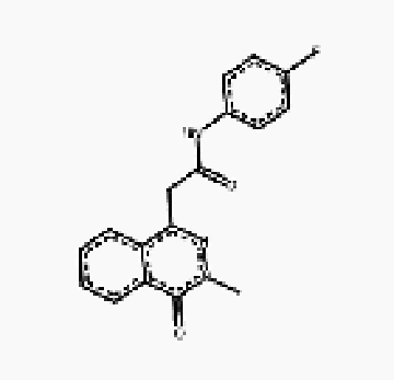 Cn1nc(CC(=O)Nc2ccc(F)cc2)c2ccccc2c1=O